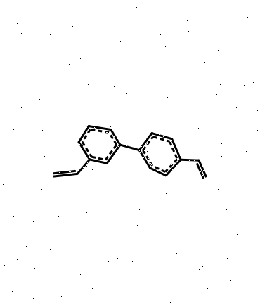 C=Cc1ccc(-c2cccc(C=C)c2)cc1